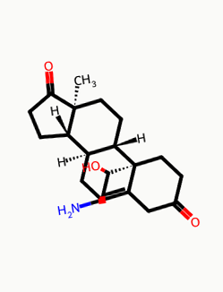 C[C@]12CC[C@H]3[C@@H](CC=C4CC(=O)CC[C@@]43C(O)CN)[C@@H]1CCC2=O